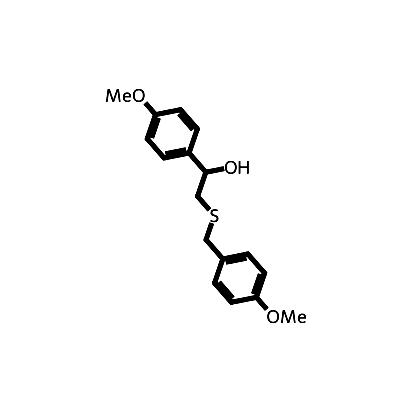 COc1ccc(CSCC(O)c2ccc(OC)cc2)cc1